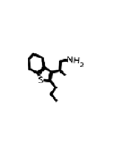 CCCc1sc2c(c1C(C)CN)CCCC2